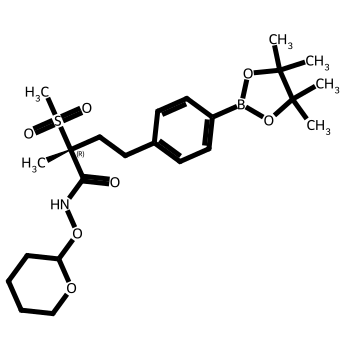 CC1(C)OB(c2ccc(CC[C@](C)(C(=O)NOC3CCCCO3)S(C)(=O)=O)cc2)OC1(C)C